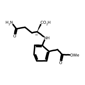 COC(=O)Cc1ccccc1N[C@@H](CCC(N)=O)C(=O)O